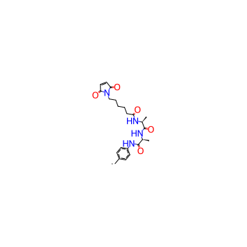 [CH2]c1ccc(NC(=O)[C@H](C)NC(=O)[C@H](C)NC(=O)CCCCCN2C(=O)C=CC2=O)cc1